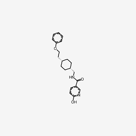 O=C(NC[C@H]1CC[C@@H](CCOc2ccccc2)CC1)c1ccc(O)nc1